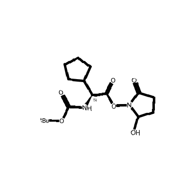 CC(C)(C)OC(=O)N[C@H](C(=O)ON1C(=O)CCC1O)C1CCCC1